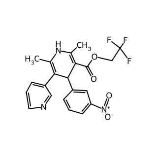 CC1=C(C(=O)OCC(F)(F)F)C(c2cccc([N+](=O)[O-])c2)C(c2cccnc2)=C(C)N1